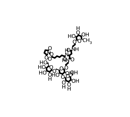 C[C@@H]1O[C@@H](OCCNC(=O)CC(NC(=O)CCCCC(=O)ON2C(=O)CCC2=O)C(=O)NCCO[C@H]2O[C@H](CO[C@H]3O[C@H](CO)[C@@H](O)[C@H](O)[C@@H]3O)[C@@H](O)[C@H](O[C@H]3O[C@H](CO)[C@@H](O)[C@H](O)[C@@H]3O)[C@@H]2O)[C@@H](O)[C@H](O)[C@@H]1O